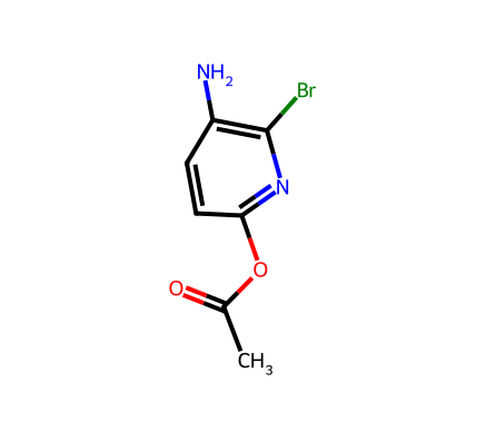 CC(=O)Oc1ccc(N)c(Br)n1